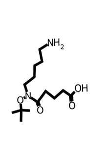 CC(C)(C)ON(CCCCCN)C(=O)CCCC(=O)O